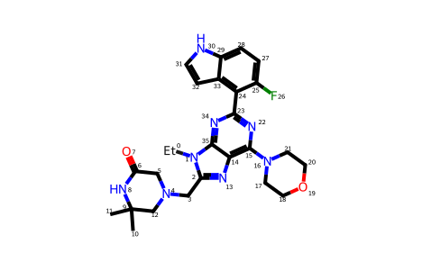 CCn1c(CN2CC(=O)NC(C)(C)C2)nc2c(N3CCOCC3)nc(-c3c(F)ccc4[nH]ccc34)nc21